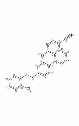 N#Cc1ccc2c3c(cccc13)-c1ccc(CCc3ccccc3Cl)cc1O2